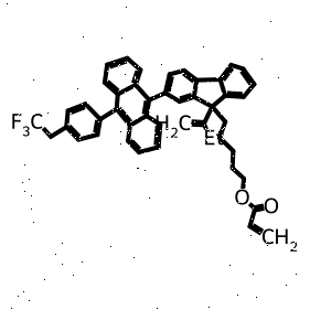 C=CC(=O)OCCCCCC1(C(=C)CC)c2ccccc2-c2ccc(-c3c4ccccc4c(-c4ccc(CC(F)(F)F)cc4)c4ccccc34)cc21